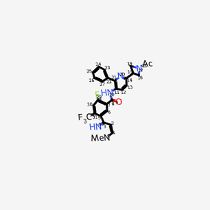 CN/C=C\C(=N)c1cc(C(=O)Nc2ccc(C3CN(C(C)=O)C3)nc2-c2ccccc2)c(F)cc1C(F)(F)F